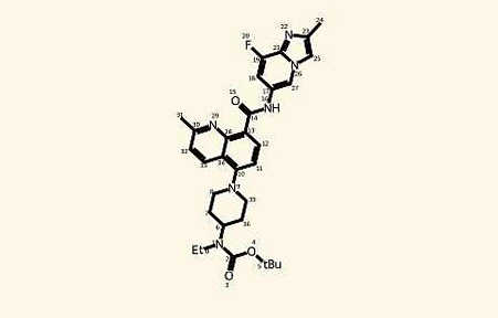 CCN(C(=O)OC(C)(C)C)C1CCN(c2ccc(C(=O)Nc3cc(F)c4nc(C)cn4c3)c3nc(C)ccc23)CC1